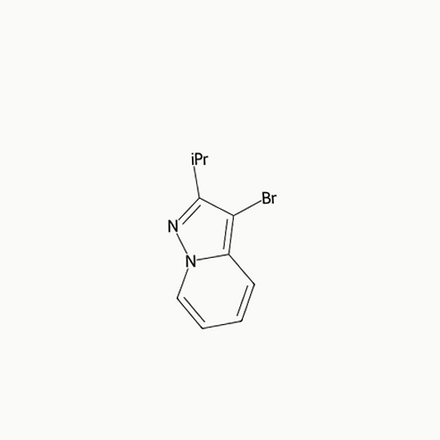 CC(C)c1nn2ccccc2c1Br